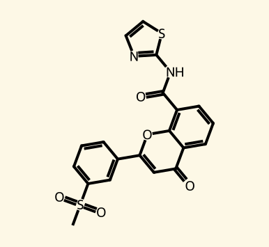 CS(=O)(=O)c1cccc(-c2cc(=O)c3cccc(C(=O)Nc4nccs4)c3o2)c1